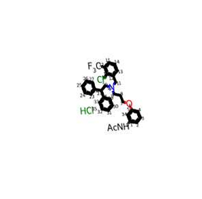 CC(=O)Nc1cccc(OCCCN(Cc2cccc(C(F)(F)F)c2Cl)CC(c2ccccc2)c2ccccc2)c1.Cl